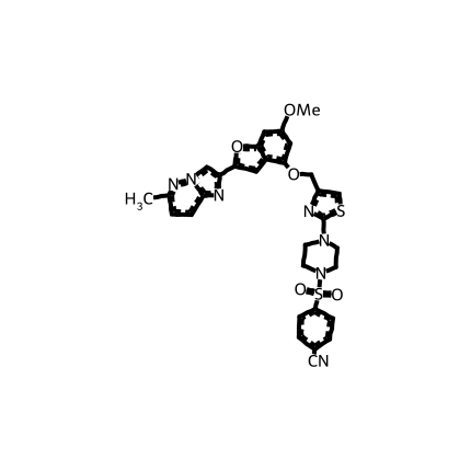 COc1cc(OCc2csc(N3CCN(S(=O)(=O)c4ccc(C#N)cc4)CC3)n2)c2cc(-c3cn4nc(C)ccc4n3)oc2c1